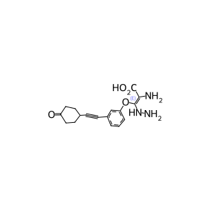 NN/C(Oc1cccc(C#CC2CCC(=O)CC2)c1)=C(\N)C(=O)O